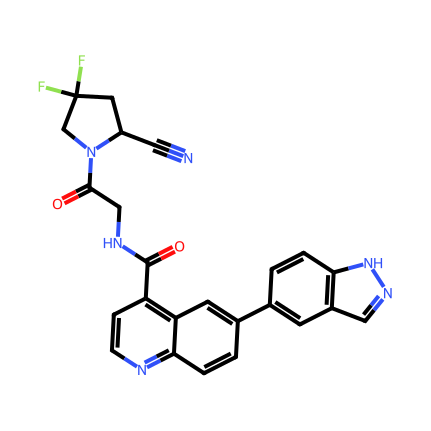 N#CC1CC(F)(F)CN1C(=O)CNC(=O)c1ccnc2ccc(-c3ccc4[nH]ncc4c3)cc12